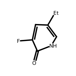 CCc1c[nH]c(=O)c(F)c1